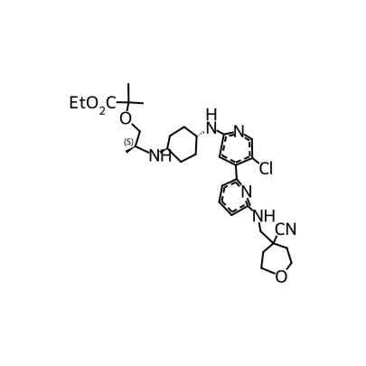 CCOC(=O)C(C)(C)OC[C@H](C)N[C@H]1CC[C@H](Nc2cc(-c3cccc(NCC4(C#N)CCOCC4)n3)c(Cl)cn2)CC1